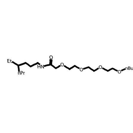 CCCCOCCOCCOCCOCC(=O)NCCCC(CC)CCC